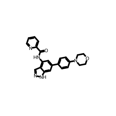 O=C(Nc1cc(-c2ccc(N3CCOCC3)cc2)cc2[nH]ncc12)c1ccccn1